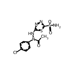 CC(=O)N(Nc1nnc(S(N)(=O)=O)s1)c1ccc(Cl)cc1